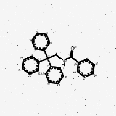 O=C(NCC(c1ccccc1)(c1ccccc1)c1ccccc1)c1ccccc1